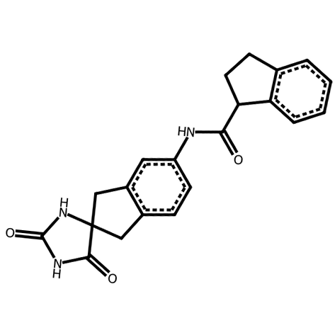 O=C1NC(=O)C2(Cc3ccc(NC(=O)C4CCc5ccccc54)cc3C2)N1